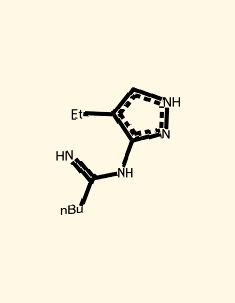 CCCCC(=N)Nc1n[nH]cc1CC